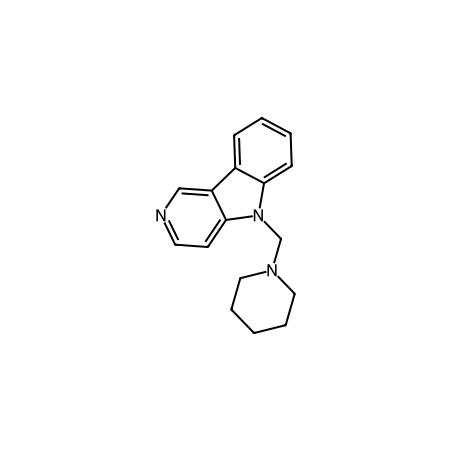 c1ccc2c(c1)c1cnccc1n2CN1CCCCC1